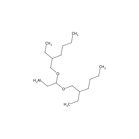 CCCCC(CC)COC([CH2][AlH2])OCC(CC)CCCC